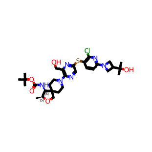 C[C@@H]1OCC2(CCN(c3ncc(Sc4ccc(N5CC(C(C)(C)O)C5)nc4Cl)nc3CO)CC2)[C@@H]1NC(=O)OC(C)(C)C